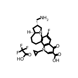 NC[C@H]1C[C@@H]2CCCc3c(c(F)cc4c(=O)c(C(=O)O)cn(C5CC5)c34)N2C1.O=C(O)C(F)(F)F